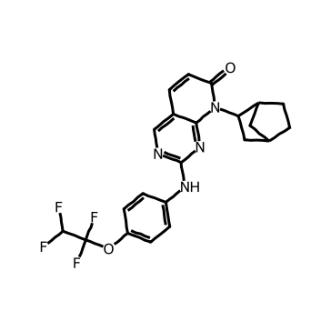 O=c1ccc2cnc(Nc3ccc(OC(F)(F)C(F)F)cc3)nc2n1C1CC2CCC1C2